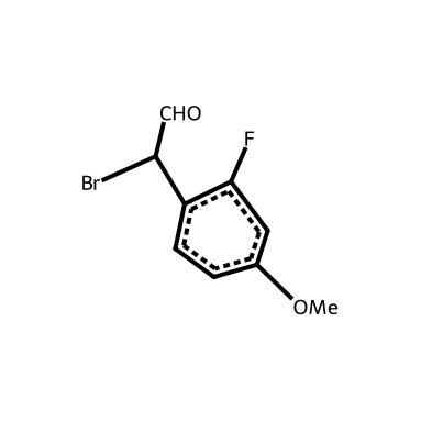 COc1ccc(C(Br)C=O)c(F)c1